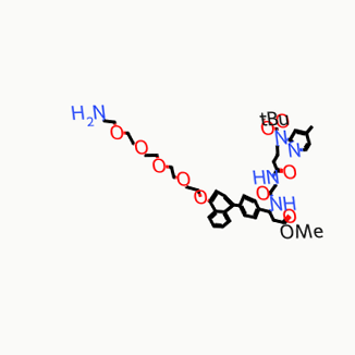 COC(=O)CC(NC(=O)CNC(=O)CCCN(C(=O)OC(C)(C)C)c1cc(C)ccn1)c1ccc(-c2ccc(OCCOCCOCCOCCOCCN)c3ccccc23)cc1